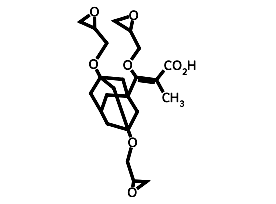 CC(C(=O)O)=C(OCC1CO1)C12CC3CC(OCC4CO4)(CC(OCC4CO4)(C3)C1)C2